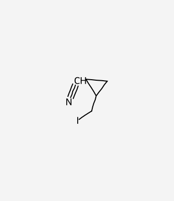 C#N.ICC1CC1